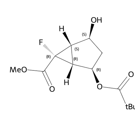 COC(=O)[C@]1(F)[C@@H]2[C@H]1[C@@H](O)C[C@H]2OC(=O)C(C)(C)C